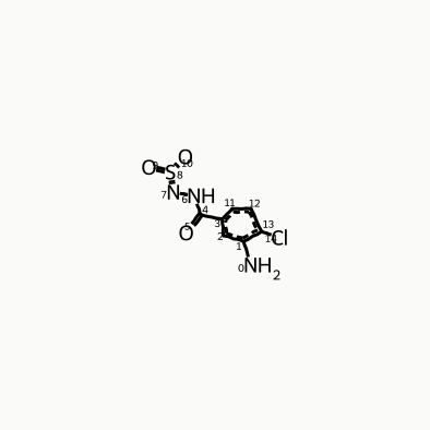 Nc1cc(C(=O)NN=S(=O)=O)ccc1Cl